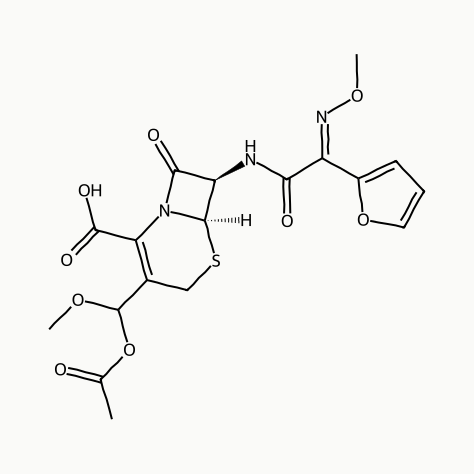 CON=C(C(=O)N[C@@H]1C(=O)N2C(C(=O)O)=C(C(OC)OC(C)=O)CS[C@H]12)c1ccco1